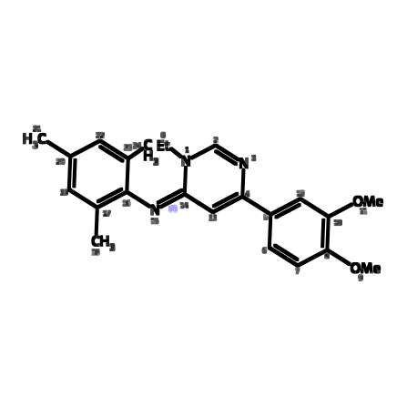 CCn1cnc(-c2ccc(OC)c(OC)c2)c/c1=N/c1c(C)cc(C)cc1C